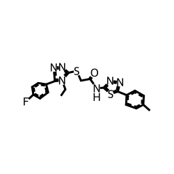 CCn1c(SCC(=O)Nc2nnc(-c3ccc(C)cc3)s2)nnc1-c1ccc(F)cc1